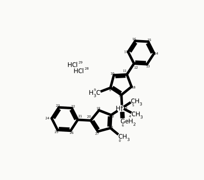 CC1=[C]([Hf]([CH3])([CH3])(=[GeH2])[C]2=C(C)C=C(c3ccccc3)C2)CC(c2ccccc2)=C1.Cl.Cl